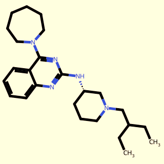 CCC(CC)CN1CCC[C@H](Nc2nc(N3CCCCCC3)c3ccccc3n2)C1